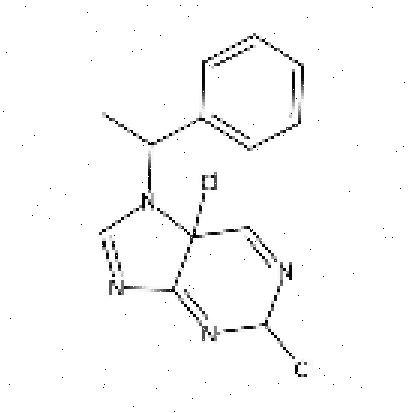 CC(c1ccccc1)N1C=NC2=NC(Cl)N=CC21Cl